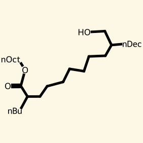 CCCCCCCCCCC(CO)CCCCCCCC(CCCC)C(=O)OCCCCCCCC